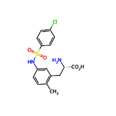 Cc1ccc(NS(=O)(=O)c2ccc(Cl)cc2)cc1C[C@H](N)C(=O)O